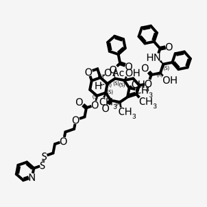 CC(=O)O[C@@]12COC1C[C@H](OC(=O)COCCOCCSSc1ccccn1)[C@@]1(C)C(=O)[C@H](C)C3=C(C)C(OC(=O)[C@H](O)[C@@H](NC(=O)c4ccccc4)c4ccccc4)C[C@@](O)([C@@H](OC(=O)c4ccccc4)[C@@H]12)C3(C)C